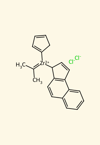 C[C](C)=[Zr+2]([C]1=CC=CC1)[CH]1C=Cc2c1ccc1ccccc21.[Cl-].[Cl-]